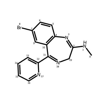 CNC1=Nc2ccc(Br)cc2C(c2ccccn2)=NC1